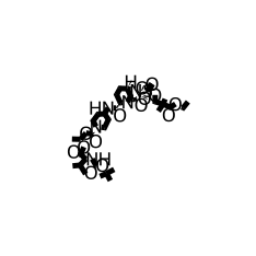 CCOC(=O)C(C)(C)COS(=O)(=O)ON1C(=O)N2C[C@H]1CC[C@H]2C(=O)NC1CCN(C(=O)OC(C)OC(=O)C(NC(=O)OC(C)(C)C)C(C)C)CC1